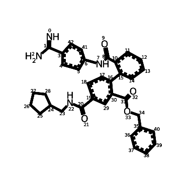 N=C(N)c1ccc(NC(=O)c2ccccc2-c2ccc(C(=O)NCC3CCCC3)cc2C(=O)OCc2ccccc2)cc1